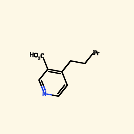 CC(C)CCc1ccncc1C(=O)O